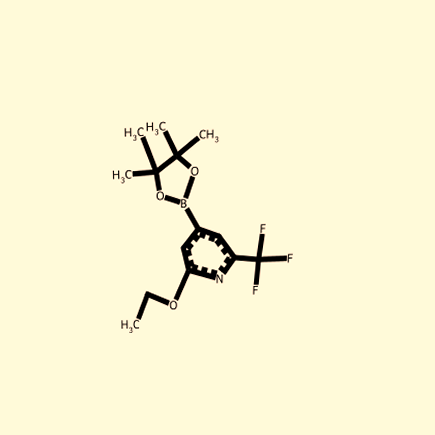 CCOc1cc(B2OC(C)(C)C(C)(C)O2)cc(C(F)(F)F)n1